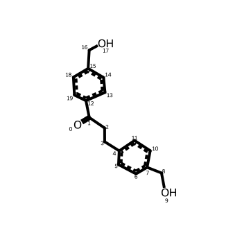 O=C(CCc1ccc(CO)cc1)c1ccc(CO)cc1